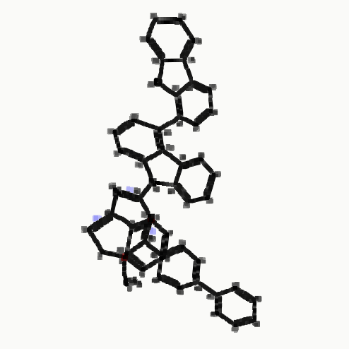 CC1C/C=C(c2ccccc2)/N=C(n2c3ccccc3c3c(-c4cccc5c4oc4ccccc45)cccc32)\N=C/1c1ccc(-c2ccccc2)cc1